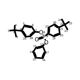 CC(C)(C)c1ccc(OP(=O)(Oc2ccccc2)c2ccc(C(C)(C)C)cc2)cc1